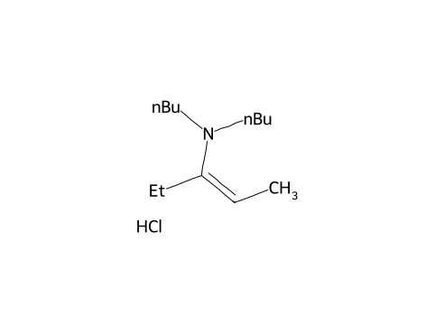 C/C=C(/CC)N(CCCC)CCCC.Cl